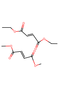 CCOC(=O)C=CC(=O)OCC.COC(=O)C=CC(=O)OC